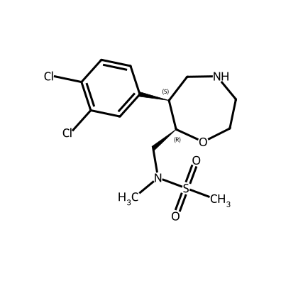 CN(C[C@@H]1OCCNC[C@@H]1c1ccc(Cl)c(Cl)c1)S(C)(=O)=O